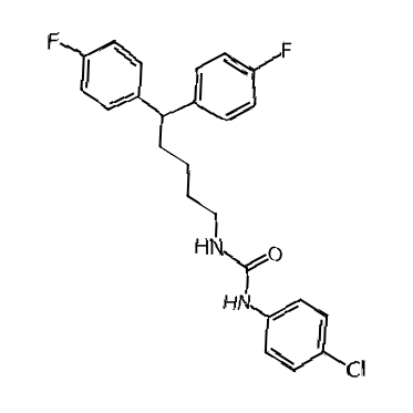 O=C(NCCCCC(c1ccc(F)cc1)c1ccc(F)cc1)Nc1ccc(Cl)cc1